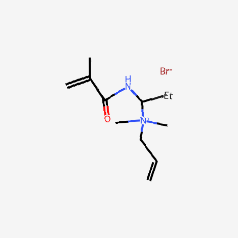 C=CC[N+](C)(C)C(CC)NC(=O)C(=C)C.[Br-]